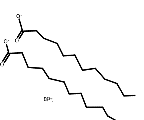 CCCCCCCCCCCC(=O)[O-].CCCCCCCCCCCC(=O)[O-].[Bi+2]